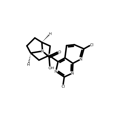 O=C(O)N1[C@@H]2CC[C@H]1CN(c1nc(Cl)nc3nc(Cl)ccc13)C2